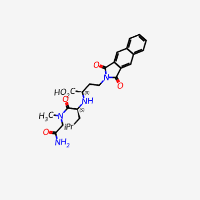 CC(C)C[C@H](N[C@H](CCN1C(=O)c2cc3ccccc3cc2C1=O)C(=O)O)C(=O)N(C)CC(N)=O